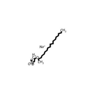 CCCCCCCCCCCCCCCCC(C)OC(C)CS(=O)(=O)[O-].[Na+]